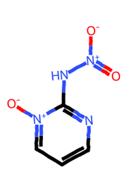 O=[N+]([O-])Nc1nccc[n+]1[O-]